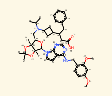 COc1ccc(CNc2ncnc3c2ccn3[C@@H]2O[C@H](CN(C(C)C)C3CC(C(CC(=O)O)Cc4ccccc4)C3)[C@H]3OC(C)(C)O[C@H]32)c(OC)c1